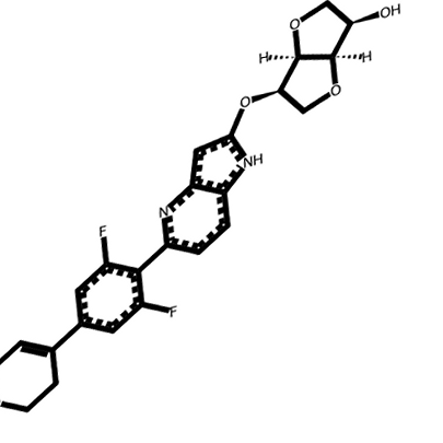 O[C@@H]1CO[C@H]2[C@@H]1OC[C@H]2Oc1cc2nc(-c3c(F)cc(C4=CCOCC4)cc3F)ccc2[nH]1